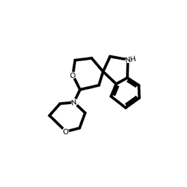 c1ccc2c(c1)NCC21CCOC(N2CCOCC2)C1